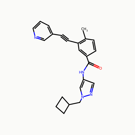 Cc1ccc(C(=O)Nc2cnn(CC3CCC3)c2)cc1C#Cc1cccnc1